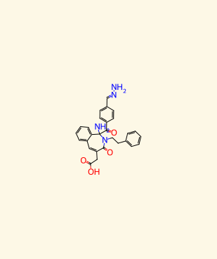 NN=Cc1ccc(C(=O)C2(N)c3ccccc3C=C(CC(=O)O)C(=O)N2CCc2ccccc2)cc1